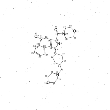 O=C(c1nn(C2CCC(CN3CCOCC3)CC2)c2c1C[S+]([O-])c1ccccc1-2)N1CCOCC1